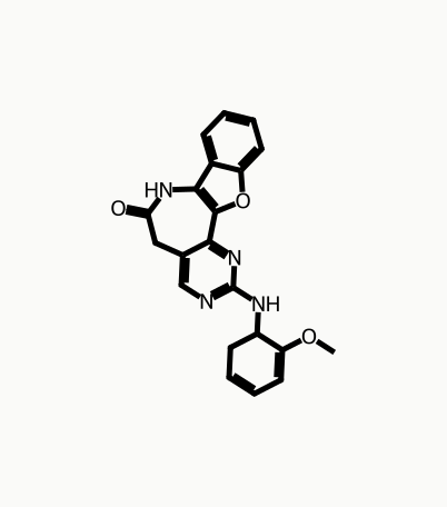 COC1=CC=CCC1Nc1ncc2c(n1)-c1oc3ccccc3c1NC(=O)C2